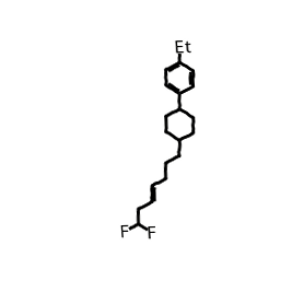 CCc1ccc(C2CCC(CCC/C=C/CC(F)F)CC2)cc1